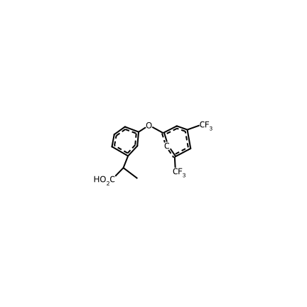 CC(C(=O)O)c1cccc(Oc2cc(C(F)(F)F)cc(C(F)(F)F)c2)c1